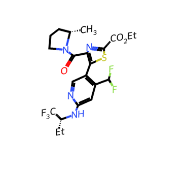 CCOC(=O)c1nc(C(=O)N2CCC[C@@H]2C)c(-c2cnc(N[C@H](CC)C(F)(F)F)cc2C(F)F)s1